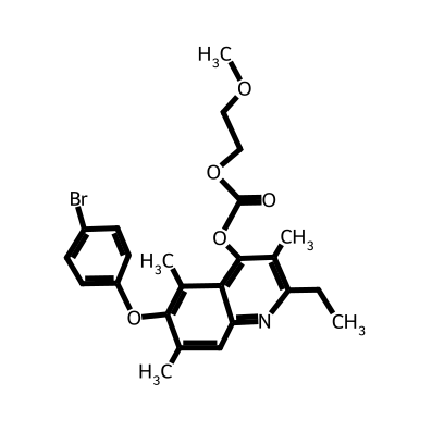 CCc1nc2cc(C)c(Oc3ccc(Br)cc3)c(C)c2c(OC(=O)OCCOC)c1C